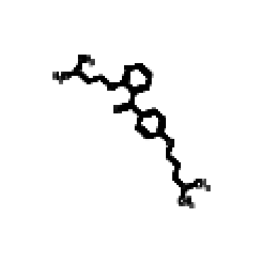 CN(C)CCCOc1ccc(C(=O)c2cccnc2OCCN(C)C)cc1